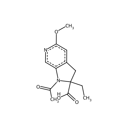 CCC1(C(=O)O)Cc2cc(OC)ncc2N1C(C)=O